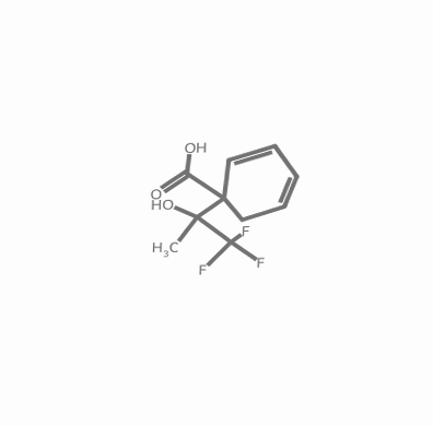 CC(O)(C(F)(F)F)C1(C(=O)O)C=CC=CC1